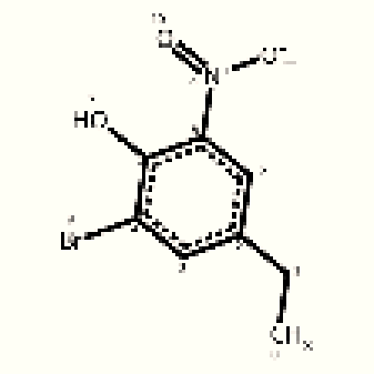 CCc1cc(Br)c(O)c([N+](=O)[O-])c1